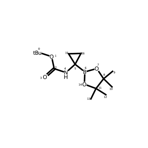 CC(C)(C)OC(=O)NC1(B2OC(C)(C)C(C)(C)O2)CC1